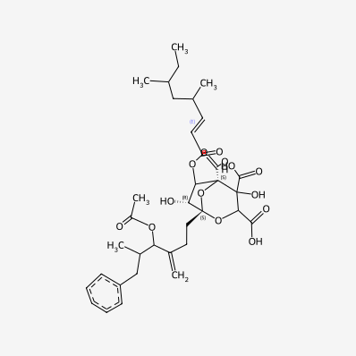 C=C(CC[C@]12OC(C(=O)O)C(O)(C(=O)O)[C@@](C(=O)O)(O1)C(OC(=O)/C=C/C(C)CC(C)CC)[C@H]2O)C(OC(C)=O)C(C)Cc1ccccc1